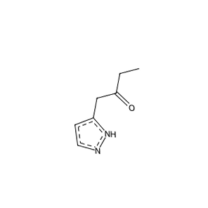 CCC(=O)Cc1ccn[nH]1